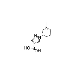 CN1CCCC(n2cc(B(O)O)cn2)C1